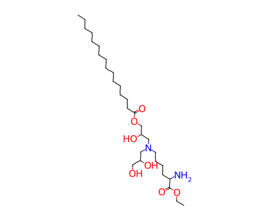 CCCCCCCCCCCCCCCC(=O)OCC(O)CN(CCCCC(N)C(=O)OCC)CC(O)CO